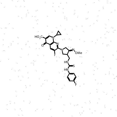 CO/N=C1/CN(c2nc3c(cc2F)c(=O)c(C(=O)O)cn3C2CC2)CC1CNC(=S)Nc1ccc(F)cc1